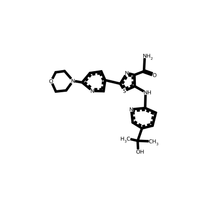 CC(C)(O)c1ccc(Nc2sc(-c3ccc(N4CCOCC4)nc3)nc2C(N)=O)nc1